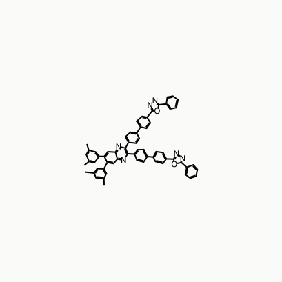 Cc1cc(C)cc(-c2cc3nc(-c4ccc(-c5ccc(-c6nnc(-c7ccccc7)o6)cc5)cc4)c(-c4ccc(-c5ccc(-c6nnc(-c7ccccc7)o6)cc5)cc4)nc3cc2-c2cc(C)cc(C)c2)c1